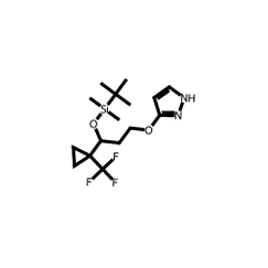 CC(C)(C)[Si](C)(C)OC(CCOc1cc[nH]n1)C1(C(F)(F)F)CC1